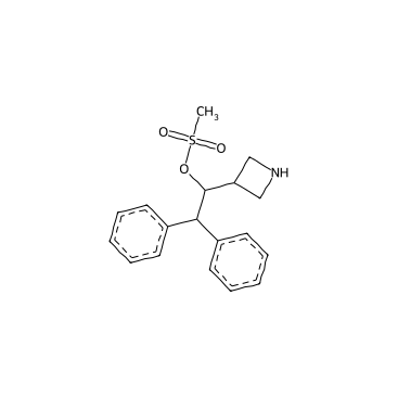 CS(=O)(=O)OC(C1CNC1)C(c1ccccc1)c1ccccc1